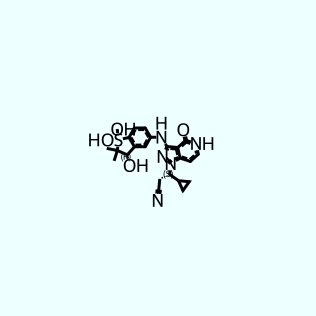 CC1(C)[C@H](O)c2cc(Nc3nn([C@@H](CC#N)C4CC4)c4cc[nH]c(=O)c34)ccc2S1(O)O